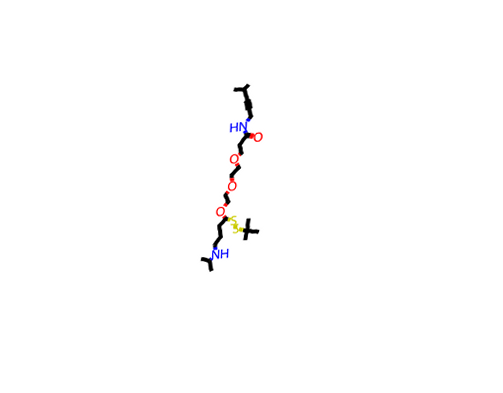 CC(C)C#CCNC(=O)CCOCCOCCOC(CCCNC(C)C)SSC(C)(C)C